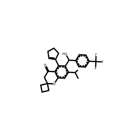 CC(C)c1cc2c(c(C3=CCCC3)c1C(O)c1ccc(C(F)(F)F)cc1)C(=O)CC1(CCC1)O2